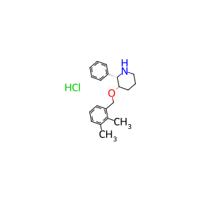 Cc1cccc(CO[C@H]2CCCN[C@H]2c2ccccc2)c1C.Cl